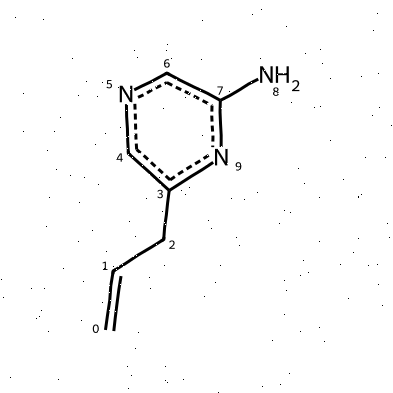 C=CCc1cncc(N)n1